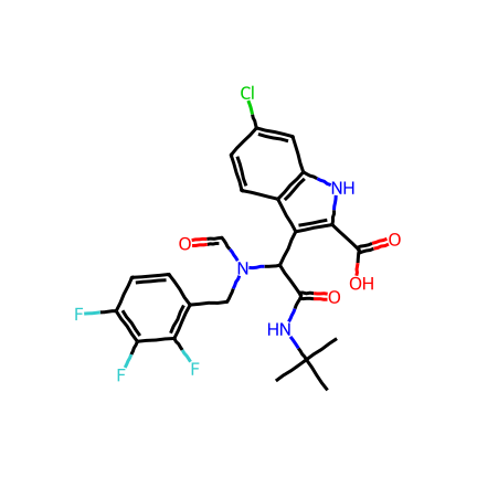 CC(C)(C)NC(=O)C(c1c(C(=O)O)[nH]c2cc(Cl)ccc12)N(C=O)Cc1ccc(F)c(F)c1F